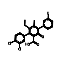 CCn1c(C)c(-c2cccc(F)c2)c(=O)c(C(=O)O)c1-c1ccc(Cl)c(Cl)c1